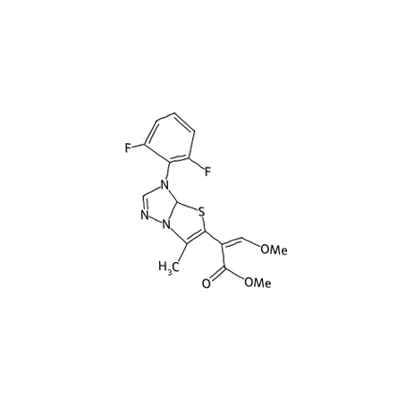 CO/C=C(\C(=O)OC)C1=C(C)N2N=CN(c3c(F)cccc3F)C2S1